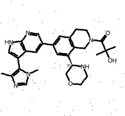 Cc1ncn(C)c1-c1c[nH]c2ncc(-c3cc4c(c([C@@H]5COCCN5)c3)CN(C(=O)C(C)(C)O)CC4)cc12